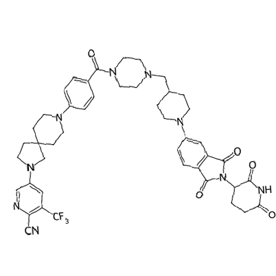 N#Cc1ncc(N2CCC3(CCN(c4ccc(C(=O)N5CCN(CC6CCN(c7ccc8c(c7)C(=O)N(C7CCC(=O)NC7=O)C8=O)CC6)CC5)cc4)CC3)C2)cc1C(F)(F)F